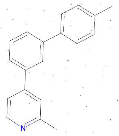 Cc1ccc(-c2cccc(-c3ccnc(C)c3)c2)cc1